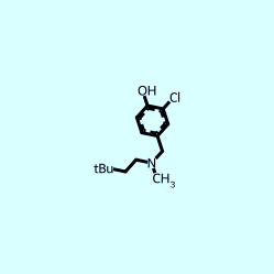 CN(CCC(C)(C)C)Cc1ccc(O)c(Cl)c1